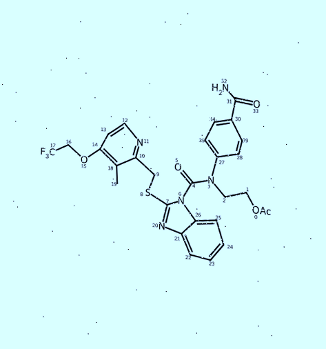 CC(=O)OCCN(C(=O)n1c(SCc2nccc(OCC(F)(F)F)c2C)nc2ccccc21)c1ccc(C(N)=O)cc1